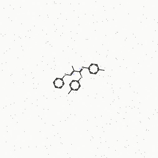 CC(=C\Sc1ccccc1)/C(=N/c1ccc(C)cc1)Sc1ccc(C)cc1